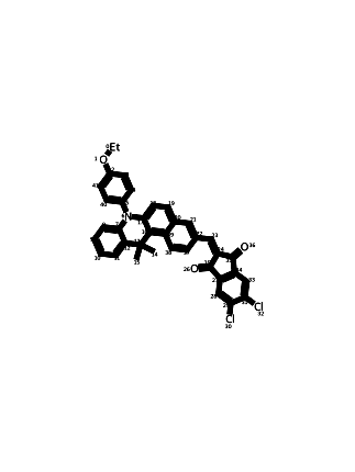 CCOc1ccc(N2c3ccccc3C(C)(C)c3c2ccc2cc(C=C4C(=O)c5cc(Cl)c(Cl)cc5C4=O)ccc32)cc1